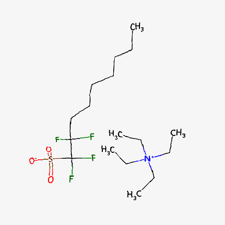 CCCCCCCC(F)(F)C(F)(F)S(=O)(=O)[O-].CC[N+](CC)(CC)CC